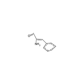 N/C([C]=O)=C\c1ccccc1